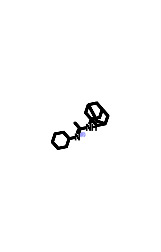 C/C(=N\C1CCCCC1)NC12CC3CC(CC(C3)C1)C2